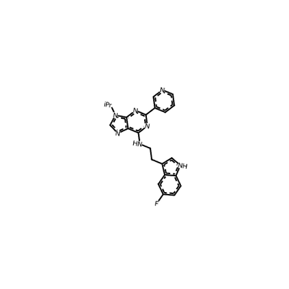 CC(C)n1cnc2c(NCCc3c[nH]c4ccc(F)cc34)nc(-c3cccnc3)nc21